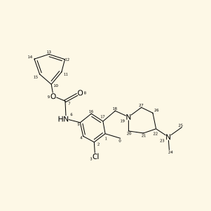 Cc1c(Cl)cc(NC(=O)Oc2ccccc2)cc1CN1CCC(N(C)C)CC1